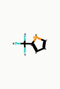 FC(F)(F)c1ccc[pH]1